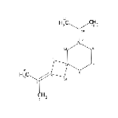 CC(C)=C1CC2(CCCN(C(C)C)C2)C1